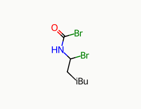 CCC(C)CC(Br)NC(=O)Br